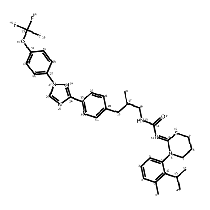 Cc1cccc(N2CCCS/C2=N\C(=O)NCC(C)Cc2ccc(-c3ncn(-c4ccc(OC(F)(F)F)cc4)n3)cc2)c1C(C)C